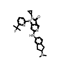 CN(C)C1Cc2ccc(Nc3cc4c(cn3)c(=O)n(C3CC3)n4-c3cccc(C(C)(C)F)n3)cc2C1